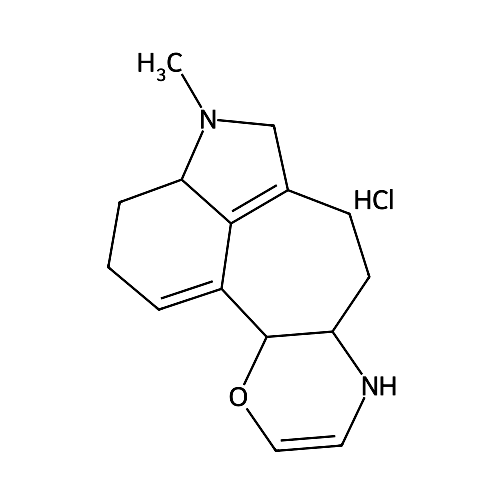 CN1CC2=C3C(=CCCC31)C1OC=CNC1CC2.Cl